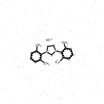 Cc1cccc(C)c1N1CCN(c2c(C)cccc2C)C1.Cl